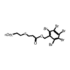 CCCCCCCCCCCCSCCC(=O)OCc1c(Br)c(Br)c(Br)c(Br)c1Br